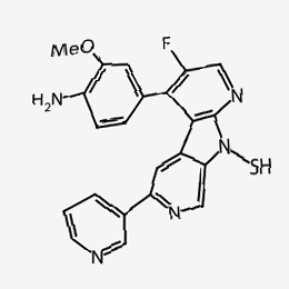 COc1cc(-c2c(F)cnc3c2c2cc(-c4cccnc4)ncc2n3S)ccc1N